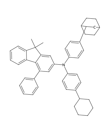 CC1(C)c2ccccc2-c2c(-c3ccccc3)cc(N(c3ccc(C4CCCCC4)cc3)c3ccc(C4CC5CCC4CC5)cc3)cc21